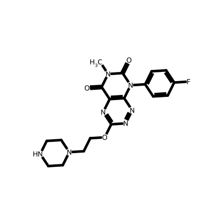 Cn1c(=O)c2nc(OCCN3CCNCC3)nnc2n(-c2ccc(F)cc2)c1=O